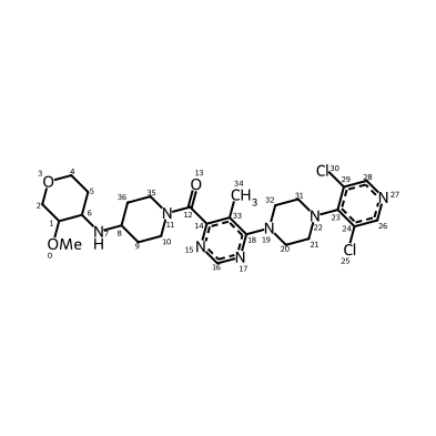 COC1COCCC1NC1CCN(C(=O)c2ncnc(N3CCN(c4c(Cl)cncc4Cl)CC3)c2C)CC1